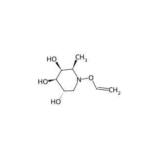 C=CON1C[C@H](O)[C@@H](O)[C@@H](O)[C@H]1C